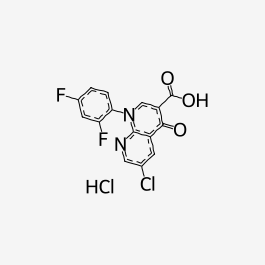 Cl.O=C(O)c1cn(-c2ccc(F)cc2F)c2ncc(Cl)cc2c1=O